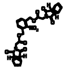 O=C(CN1C(=O)[C@@H]2C3C=CC(C3)[C@@H]2C1=O)OCc1cccc(COC(=O)CN2C(=O)[C@@H]3C4C=CC(C4)[C@@H]3C2=O)c1[N+](=O)[O-]